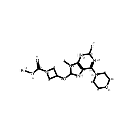 CN1C2=C(NC1OC1CN(C(=O)OC(C)(C)C)C1)C(N1CCOCC1)=NC(Cl)N2